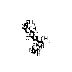 Cc1cnc(Nc2ccnn2C)nc1-c1cc2n(c1)C[C@H](C)N(Cc1cnn(C)n1)C2=O